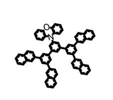 c1ccc2c(c1)Oc1ccccc1N2c1cc(-c2cc(-c3ccc4ccccc4c3)cc(-c3ccc4ccccc4c3)c2)cc(-c2cc(-c3ccc4ccccc4c3)cc(-c3ccc4ccccc4c3)c2)c1